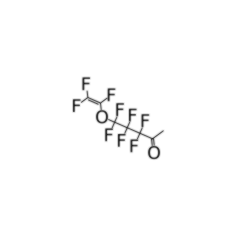 CC(=O)C(F)(F)C(F)(F)C(F)(F)OC(F)=C(F)F